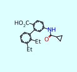 CCc1cccc(-c2cc(NC(=O)C3CC3)ccc2C(=O)O)c1CC